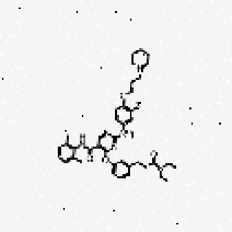 CCN(CC)C(=O)CCc1cccc(Oc2nc(Nc3ccc(OCCCN4CCCCC4)c(F)c3)ncc2C(=O)Nc2c(C)cccc2C)c1